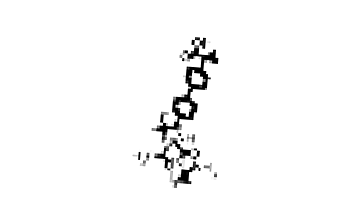 CC(C)C[C@H](N[C@@H](c1ccc(-c2ccc(C3(C(=O)O)CC3)cc2)cc1)C(F)(F)F)C(=O)NC1(N)CC1